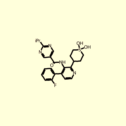 CC(C)c1ncc(C(=O)Nc2c(-c3ccccc3F)ccnc2C2CCS(O)(O)CC2)cn1